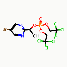 CC(OP(=O)(OCC(Cl)(Cl)Cl)OCC(Cl)(Cl)Cl)c1ncc(Br)cn1